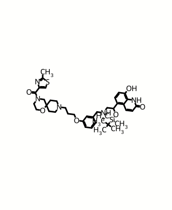 Cc1nc(C(=O)N2CCOC3(CCN(CCCOc4cccc(CNCC(O[Si](C)(C)C(C)(C)C)c5ccc(O)c6[nH]c(=O)ccc56)c4)CC3)C2)cs1